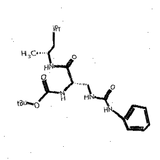 CC(C)C[C@@H](C)NC(=O)[C@H](CNC(=O)Nc1ccccc1)NC(=O)OC(C)(C)C